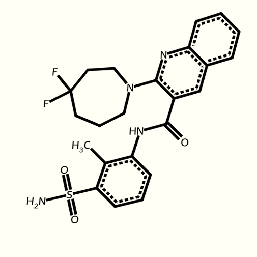 Cc1c(NC(=O)c2cc3ccccc3nc2N2CCCC(F)(F)CC2)cccc1S(N)(=O)=O